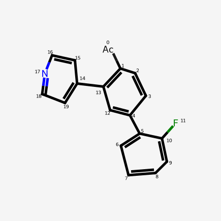 CC(=O)c1ccc(-c2ccccc2F)cc1-c1ccncc1